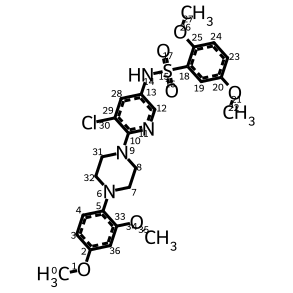 COc1ccc(N2CCN(c3ncc(NS(=O)(=O)c4cc(OC)ccc4OC)cc3Cl)CC2)c(OC)c1